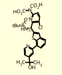 CC(C)(O)c1ccnc(-c2cccc3cc([C@@H](N[S@@+]([O-])C(C)(C)C)c4nc(N(C(=O)O)C(=O)O)ccc4Cl)sc23)c1